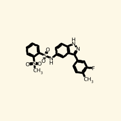 Cc1ccc(-c2n[nH]c3ccc(NS(=O)(=O)c4ccccc4S(C)(=O)=O)cc23)cc1F